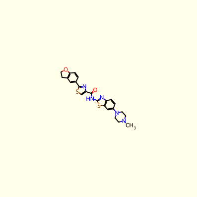 CN1CCN(c2ccc3nc(NC(=O)c4csc(-c5ccc6c(c5)CCO6)n4)sc3c2)CC1